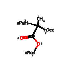 CCCCCCCCCCC(C)(CCCCC)C(=O)OCCCCCCCCC